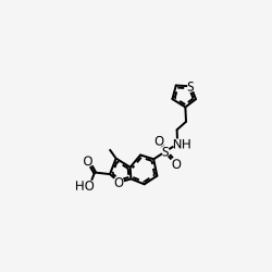 Cc1c(C(=O)O)oc2ccc(S(=O)(=O)NCCc3ccsc3)cc12